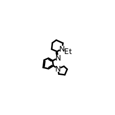 CCN1CCCC/C1=N\c1ccccc1N1CCCC1